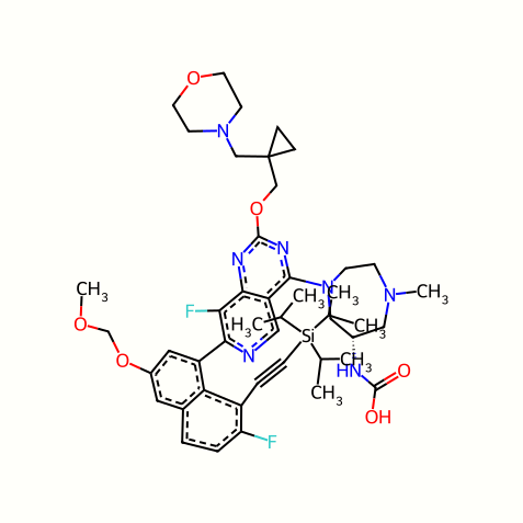 COCOc1cc(-c2ncc3c(N4CCN(C)C[C@H](NC(=O)O)C4)nc(OCC4(CN5CCOCC5)CC4)nc3c2F)c2c(C#C[Si](C(C)C)(C(C)C)C(C)C)c(F)ccc2c1